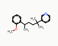 COc1ccccc1C(C)CCC(C)(C)c1cccnc1